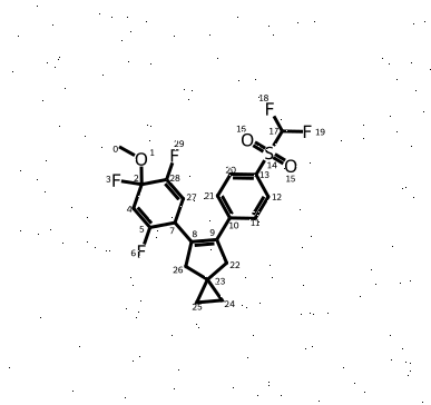 COC1(F)C=C(F)C(C2=C(c3ccc(S(=O)(=O)C(F)F)cc3)CC3(CC3)C2)C=C1F